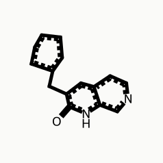 O=c1[nH]c2cnccc2cc1Cc1ccccc1